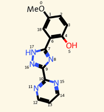 COc1ccc(O)c(-c2nc(-c3ncccn3)n[nH]2)c1